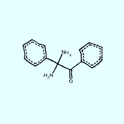 NC(N)(C(=O)c1ccccc1)c1ccccc1